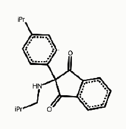 CC(C)CNC1(c2[c]cc(C(C)C)cc2)C(=O)c2ccccc2C1=O